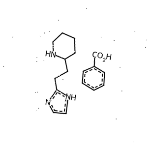 O=C(O)c1ccccc1.c1c[nH]c(CCC2CCCCN2)n1